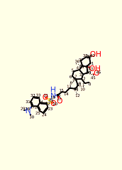 CCC1C2C(CC[C@]1(C)[C@H](C)[C@H](C)CCCC(=O)NS(=O)(=O)c1cccc3c(N(C)C)cccc13)[C@@]1(C)CC[C@H](O)CC1(O)[C@@H]2C=O